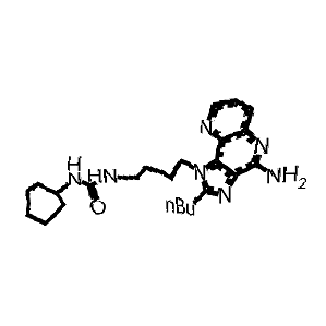 CCCCc1nc2c(N)nc3cccnc3c2n1CCCCNC(=O)NC1CCCCC1